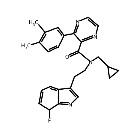 Cc1ccc(-c2nccnc2C(=O)N(CCC2=CN=C3C2=CC=CC3F)CC2CC2)cc1C